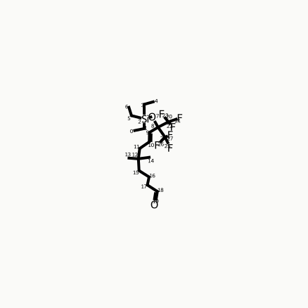 CC[Si](CC)(CC)OC(C=CCC(C)(C)CCCC=O)(C(F)(F)F)C(F)(F)F